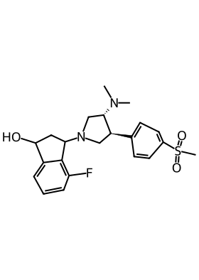 CN(C)[C@H]1CN(C2CC(O)c3cccc(F)c32)C[C@@H]1c1ccc(S(C)(=O)=O)cc1